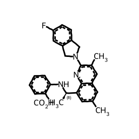 Cc1cc([C@@H](C)Nc2ccccc2C(=O)O)c2nc(N3Cc4ccc(F)cc4C3)c(C)cc2c1